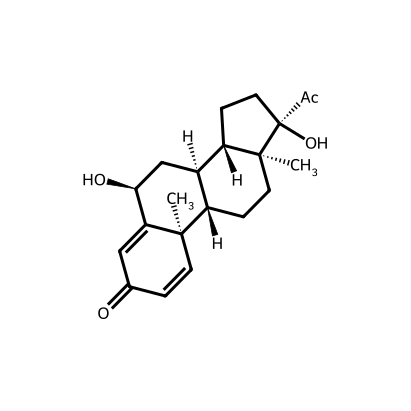 CC(=O)[C@@]1(O)CC[C@H]2[C@@H]3C[C@H](O)C4=CC(=O)C=C[C@]4(C)[C@H]3CC[C@@]21C